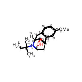 C=CC(C)(C)N1CC[C@]23CCCCC2(O)[C@H]1Cc1ccc(OC)cc13